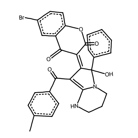 Cc1ccc(C(=O)C2=C3NCCCN3C(O)(c3ccccc3)C2=C2C(=O)Oc3ccc(Br)cc3C2=O)cc1